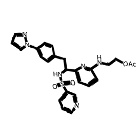 CC(=O)OCCNc1cccc(C(Cc2ccc(-n3cccn3)cc2)NS(=O)(=O)c2cccnc2)n1